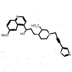 COc1ccc2nccc([C@H](O)CC[C@@H]3CCN(CC#Cc4cncs4)C[C@@H]3C(=O)O)c2c1